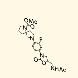 COC(=O)N1CCCC12CCN(c1ccc(N3CC(CNC(C)=O)OC3=O)cc1F)C2